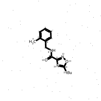 Cc1ccccc1CNC(=O)c1noc(C(C)(C)C)n1